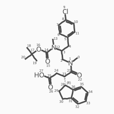 CN(CC(Cc1ccc(Cl)cc1)N(C)C(=O)OC(C)(C)C)C(=O)C(CC(=O)O)[C@H]1CCc2ccccc21